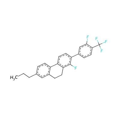 CCCc1ccc2c(c1)CCc1c-2ccc(-c2ccc(C(F)(F)F)c(F)c2)c1F